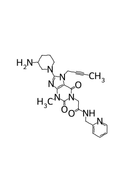 CC#CCn1c(N2CCCC(N)C2)nc2c1c(=O)n(CC(=O)NCc1ccccn1)c(=O)n2C